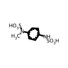 CN(c1ccc(NS(=O)(=O)O)cc1)S(=O)(=O)O